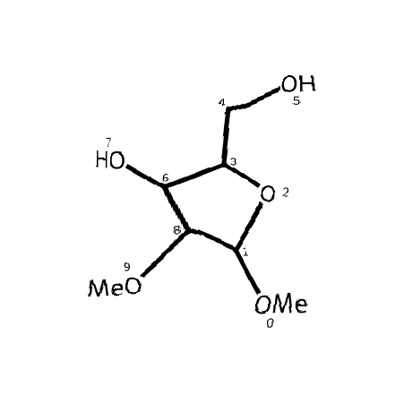 COC1OC(CO)C(O)C1OC